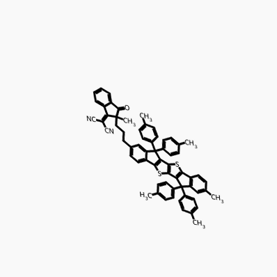 Cc1ccc(C2(c3ccc(C)cc3)c3cc(C)ccc3-c3sc4c5c(sc4c32)-c2ccc(CCCC3(C)C(=O)c4ccccc4C3=C(C#N)C#N)cc2C5(c2ccc(C)cc2)c2ccc(C)cc2)cc1